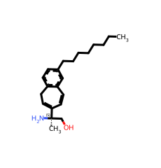 CCCCCCCCc1ccc2c(c1)C=CC([C@](C)(N)CO)=CC2